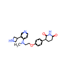 CN(CCOc1ccc(C2CCC(=O)NC2=O)cc1)c1ccncc1C1CNC1